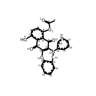 CC(=O)Oc1ccc(O)c2c1C(=O)C1=C(Oc3ccccc3CN1c1cccnc1)C2=O